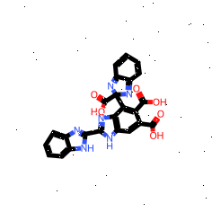 O=C(O)c1cc2[nH]c(-c3nc4ccccc4[nH]3)nc2c(C2(C(=O)O)N=c3ccccc3=N2)c1C(=O)O